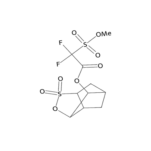 COS(=O)(=O)C(F)(F)C(=O)OC1C2CC3C1OS(=O)(=O)C3C2